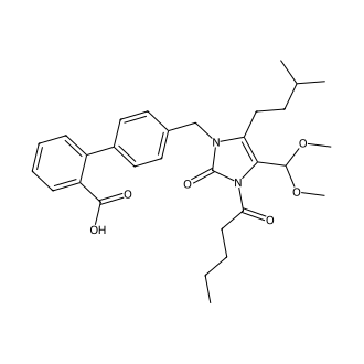 CCCCC(=O)n1c(C(OC)OC)c(CCC(C)C)n(Cc2ccc(-c3ccccc3C(=O)O)cc2)c1=O